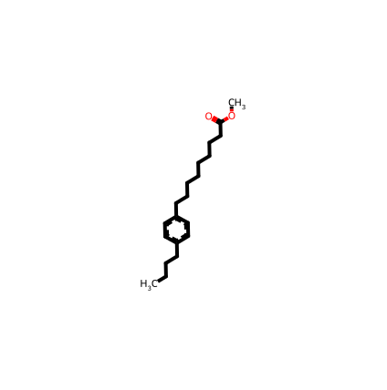 CCCCc1ccc(CCCCCCCCC(=O)OC)cc1